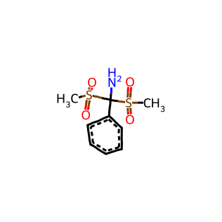 CS(=O)(=O)C(N)(c1ccccc1)S(C)(=O)=O